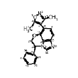 Cc1noc(C)c1-c1ccc2ncn3c2c1OCC3c1ccccc1